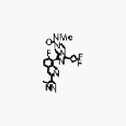 CNC(=O)N1CCn2c(C3CC(F)(F)C3)nc(-c3c(F)ccc4cc(-c5cn(C)nc5C)ncc34)c2C1